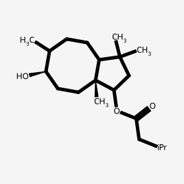 CC(C)CC(=O)OC1CC(C)(C)C2CCC(C)[C@H](O)CC[C@@]12C